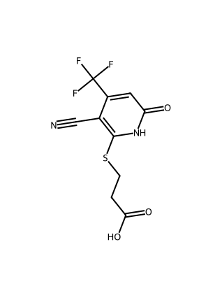 N#Cc1c(C(F)(F)F)cc(=O)[nH]c1SCCC(=O)O